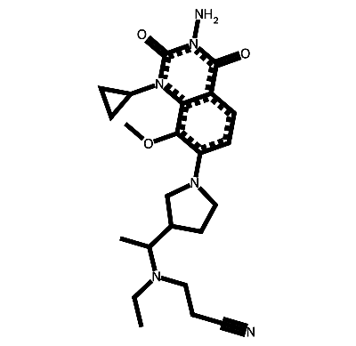 CCN(CCC#N)C(C)C1CCN(c2ccc3c(=O)n(N)c(=O)n(C4CC4)c3c2OC)C1